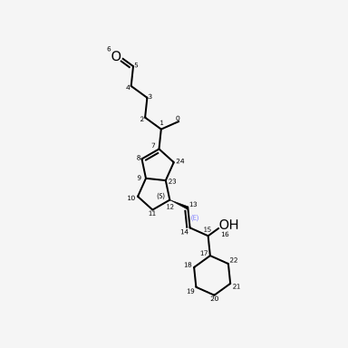 CC(CCCC=O)C1=CC2CC[C@H](/C=C/C(O)C3CCCCC3)C2C1